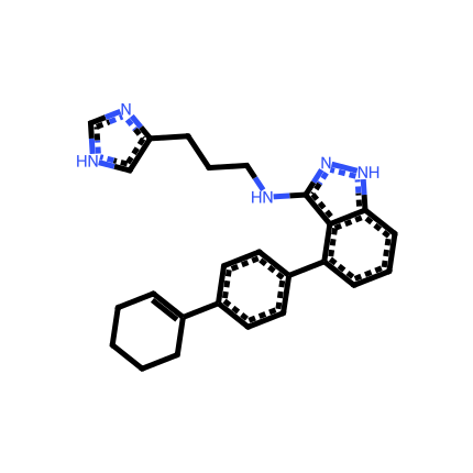 C1=C(c2ccc(-c3cccc4[nH]nc(NCCCc5c[nH]cn5)c34)cc2)CCCC1